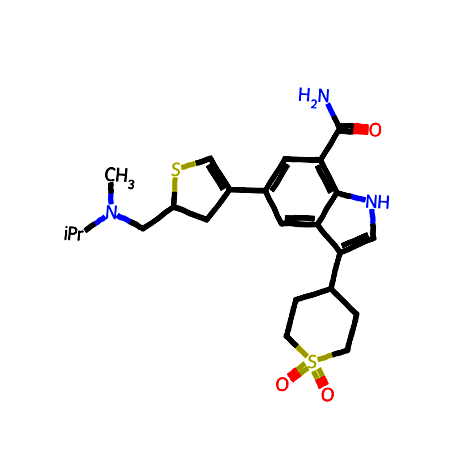 CC(C)N(C)CC1CC(c2cc(C(N)=O)c3[nH]cc(C4CCS(=O)(=O)CC4)c3c2)=CS1